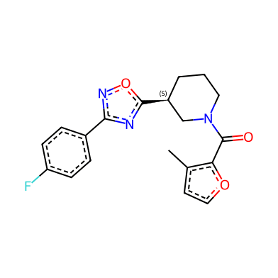 Cc1ccoc1C(=O)N1CCC[C@H](c2nc(-c3ccc(F)cc3)no2)C1